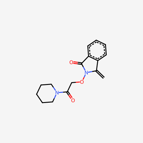 C=C1c2ccccc2C(=O)N1OCC(=O)N1CCCCC1